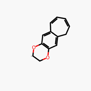 [CH]1COc2cc3c(cc2O1)C=CC=CC3